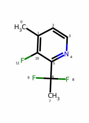 Cc1ccnc(C(C)(F)F)c1F